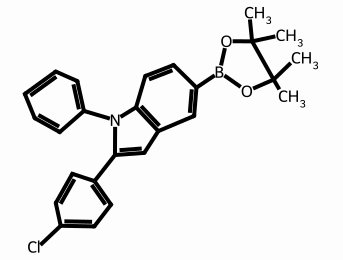 CC1(C)OB(c2ccc3c(c2)cc(-c2ccc(Cl)cc2)n3-c2ccccc2)OC1(C)C